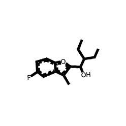 CCC(CC)C(O)c1oc2ccc(F)cc2c1C